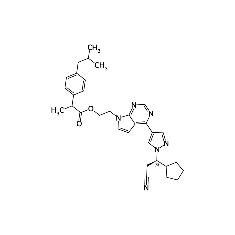 CC(C)Cc1ccc(C(C)C(=O)OCCn2ccc3c(-c4cnn([C@H](CC#N)C5CCCC5)c4)ncnc32)cc1